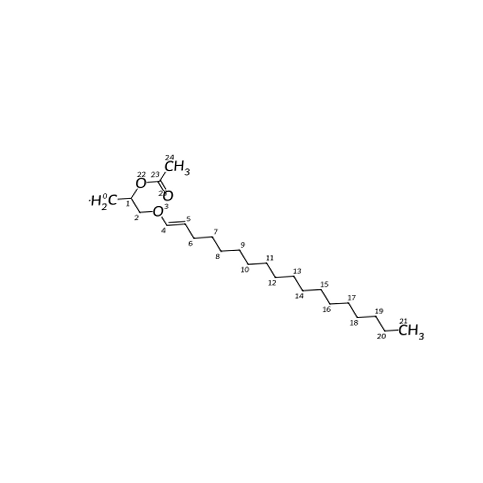 [CH2]C(COC=CCCCCCCCCCCCCCCCC)OC(C)=O